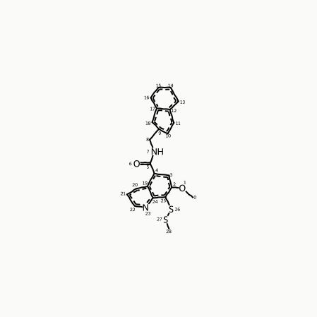 COc1cc(C(=O)NCc2ccc3ccccc3c2)c2cccnc2c1SSC